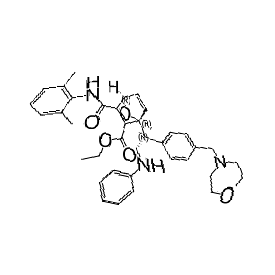 CCOC(=O)C1=C(C(=O)Nc2c(C)cccc2C)[C@H]2C=C[C@]1([C@@H](CNc1ccccc1)c1ccc(CN3CCOCC3)cc1)O2